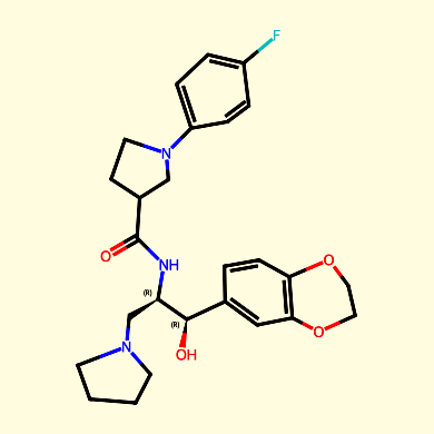 O=C(N[C@H](CN1CCCC1)[C@H](O)c1ccc2c(c1)OCCO2)C1CCN(c2ccc(F)cc2)C1